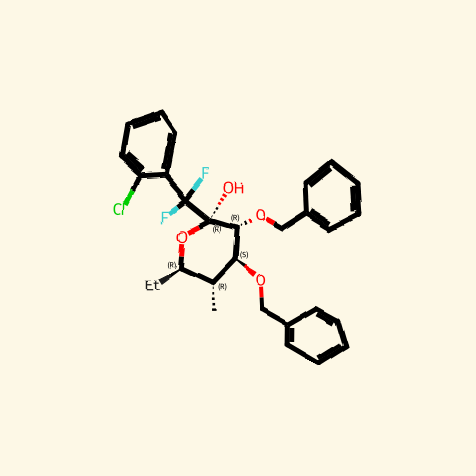 CC[C@H]1O[C@@](O)(C(F)(F)c2ccccc2Cl)[C@H](OCc2ccccc2)[C@@H](OCc2ccccc2)[C@@H]1C